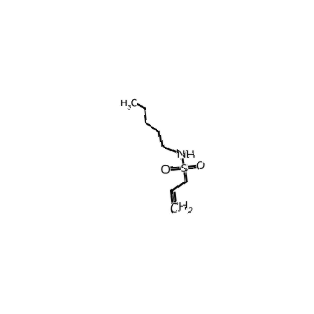 C=CCS(=O)(=O)NCCCCC